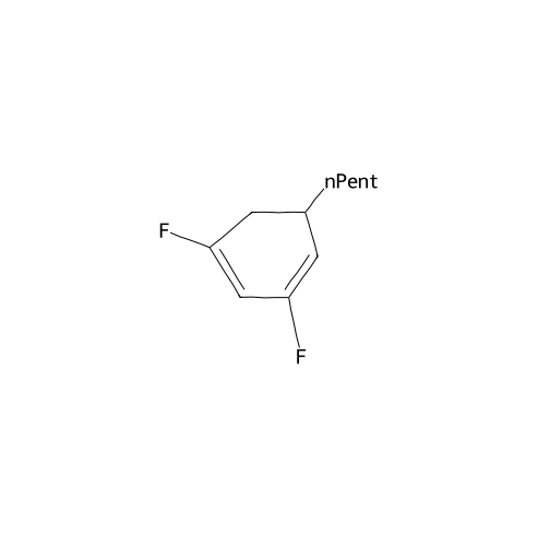 CCCCCC1C=C(F)C=C(F)C1